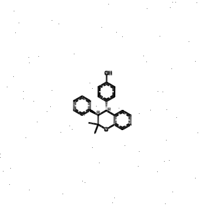 CC1(C)Oc2ccccc2[C@@H](c2ccc(O)cc2)[C@@H]1c1ccccc1